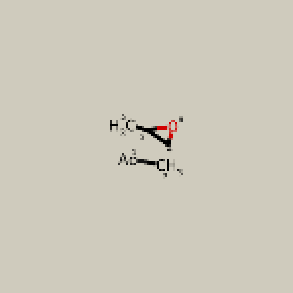 CC(C)=O.CC1CO1